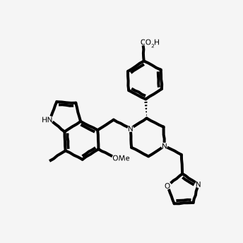 COc1cc(C)c2[nH]ccc2c1CN1CCN(Cc2ncco2)C[C@H]1c1ccc(C(=O)O)cc1